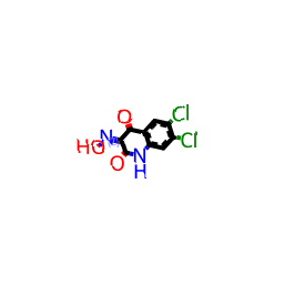 O=C1Nc2cc(Cl)c(Cl)cc2C(=O)/C1=N/O